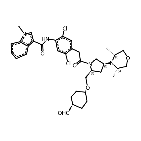 C[C@@H]1COC[C@H](C)N1[C@H]1C[C@@H](CO[C@H]2CC[C@H](C=O)CC2)N(C(=O)Cc2cc(Cl)c(NC(=O)c3cn(C)c4ccccc34)cc2Cl)C1